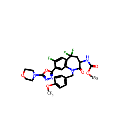 CC(C)(C)OC(=O)NC1CC(F)(F)c2cc(F)c(-c3nnc(N4CCOCC4)o3)cc2N(Cc2ccc(OC(F)(F)F)cc2)C1=O